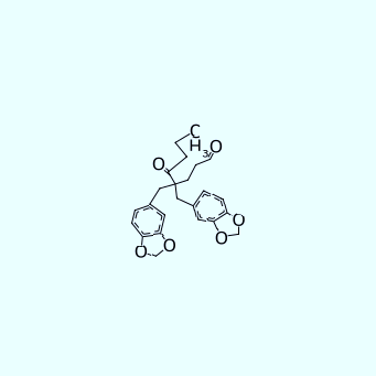 CCCC(=O)C(CCC=O)(Cc1ccc2c(c1)OCO2)Cc1ccc2c(c1)OCO2